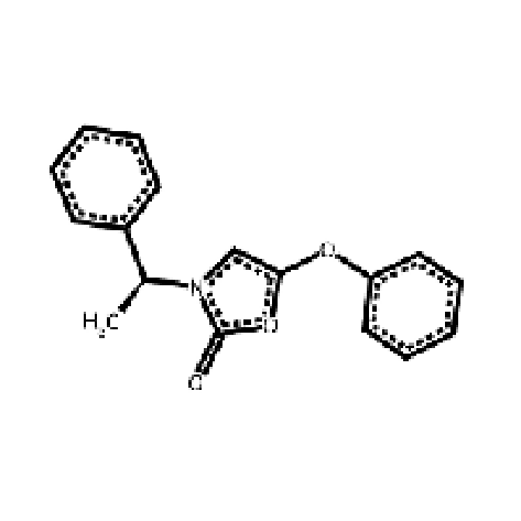 C[C@@H](c1ccccc1)n1cc(Oc2ccccc2)oc1=O